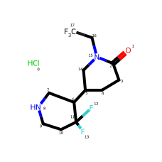 Cl.O=C1CCC(C2CNCCC2(F)F)CN1CC(F)(F)F